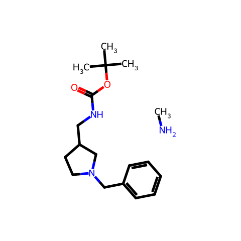 CC(C)(C)OC(=O)NCC1CCN(Cc2ccccc2)C1.CN